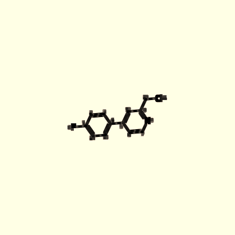 Fc1ccc(-c2ccnc(CCl)c2)cc1